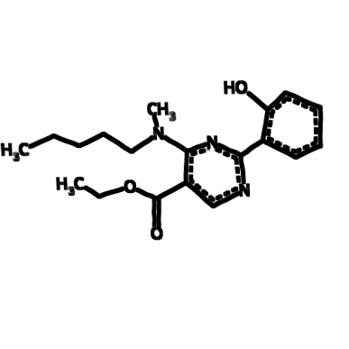 CCCCCN(C)c1nc(-c2ccccc2O)ncc1C(=O)OCC